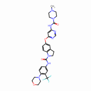 CN1CCN(C(=O)Nc2cc(Oc3ccc4c(c3)CCN4C(=O)Nc3ccc(N4CCOCC4)c(C(F)(F)F)c3)ncn2)CC1